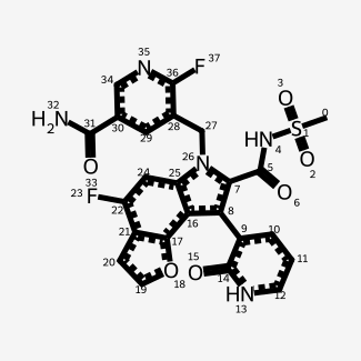 CS(=O)(=O)NC(=O)c1c(-c2ccc[nH]c2=O)c2c3occc3c(F)cc2n1Cc1cc(C(N)=O)cnc1F